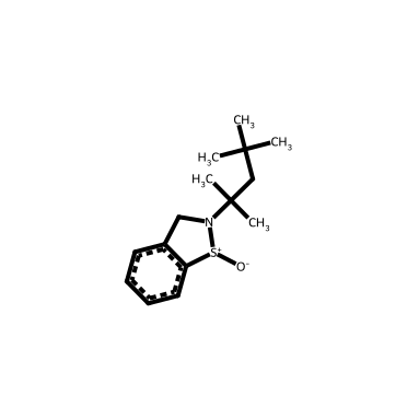 CC(C)(C)CC(C)(C)N1Cc2ccccc2[S+]1[O-]